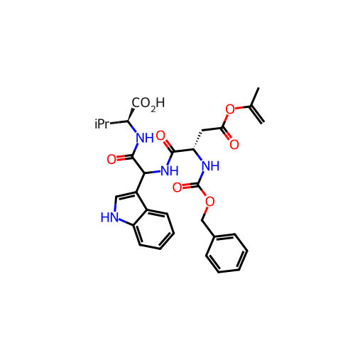 C=C(C)OC(=O)C[C@H](NC(=O)OCc1ccccc1)C(=O)NC(C(=O)N[C@H](C(=O)O)C(C)C)c1c[nH]c2ccccc12